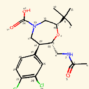 CC(=O)NC[C@H]1O[C@H](C(C)(C)C)CN(C(=O)O)C[C@@H]1c1ccc(Cl)c(Cl)c1